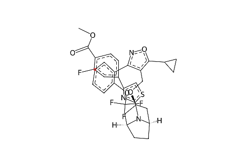 COC(=O)c1ccc(-c2csc(N3[C@@H]4CC[C@H]3C[C@@H](OCc3c(-c5ccccc5OC(F)(F)F)noc3C3CC3)C4)n2)cc1F